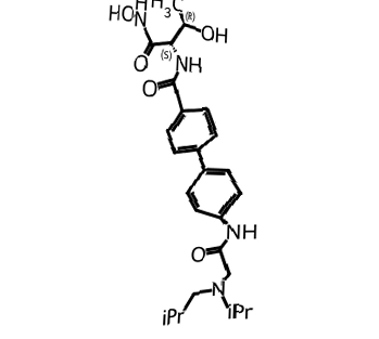 CC(C)CN(CC(=O)Nc1ccc(-c2ccc(C(=O)N[C@H](C(=O)NO)[C@@H](C)O)cc2)cc1)C(C)C